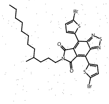 CCCCCCCCC(C)CCCN1C(=O)c2c(c(-c3ccc(Br)s3)c3nsnc3c2-c2ccc(Br)s2)C1=O